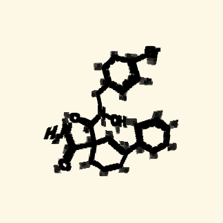 NC(=O)C1(C(=O)N(O)Cc2ccc(Br)cc2)C=C(c2ccccc2)C=CC1